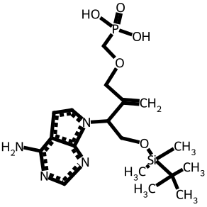 C=C(COCP(=O)(O)O)C(CO[Si](C)(C)C(C)(C)C)n1ccc2c(N)ncnc21